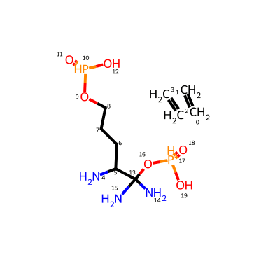 C=C.C=C.NC(CCCO[PH](=O)O)C(N)(N)O[PH](=O)O